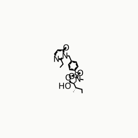 CCc1nccc(=O)n1Cc1ccc(S(=O)(=O)N(C)[C@H](C(=O)O)[C@@H](C)CC)cc1